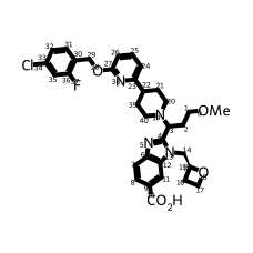 COCCC(c1nc2ccc(C(=O)O)cc2n1C[C@@H]1CCO1)N1CCC(c2cccc(OCc3ccc(Cl)cc3F)n2)CC1